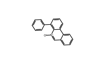 [O-][n+]1cc2ccccc2c2cccc(-c3ccccc3)c21